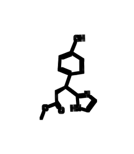 COC(=O)C[C@@H](c1ccc(O)cc1)c1ncc[nH]1